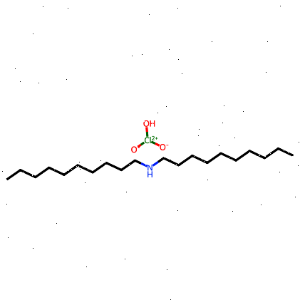 CCCCCCCCCCNCCCCCCCCCC.[O-][Cl+2]([O-])O